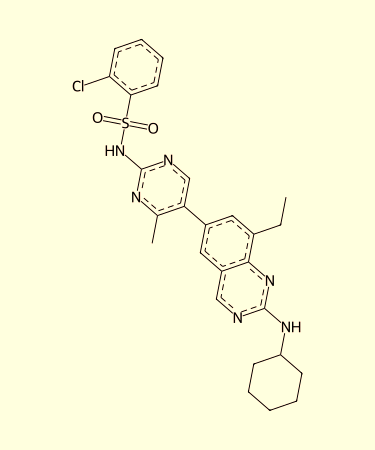 CCc1cc(-c2cnc(NS(=O)(=O)c3ccccc3Cl)nc2C)cc2cnc(NC3CCCCC3)nc12